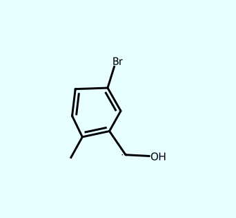 Cc1ccc(Br)cc1[CH]O